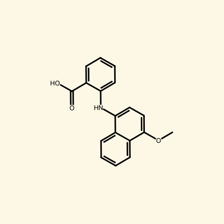 COc1ccc(Nc2ccccc2C(=O)O)c2ccccc12